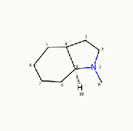 CN1CCC2CCCC[C@@H]21